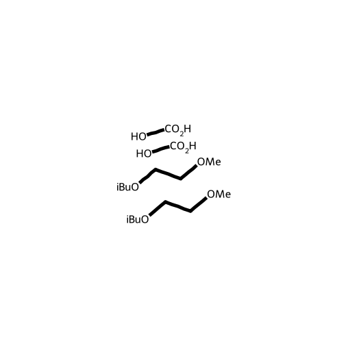 COCCOCC(C)C.COCCOCC(C)C.O=C(O)O.O=C(O)O